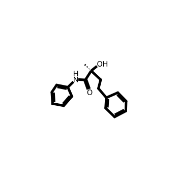 C[C@](O)(CCc1ccccc1)C(=O)Nc1ccccc1